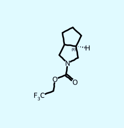 O=C(OCC(F)(F)F)N1CC2CCC[C@H]2C1